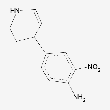 Nc1ccc(C2C=CNCC2)cc1[N+](=O)[O-]